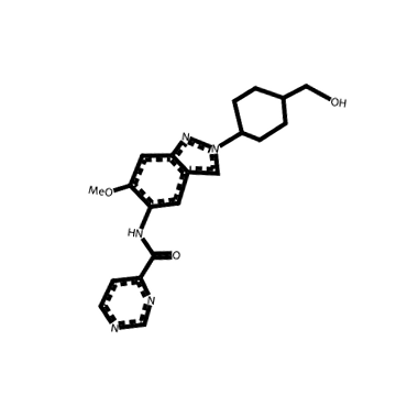 COc1cc2nn(C3CCC(CO)CC3)cc2cc1NC(=O)c1ccncn1